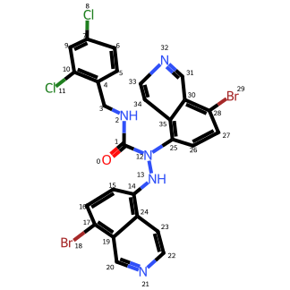 O=C(NCc1ccc(Cl)cc1Cl)N(Nc1ccc(Br)c2cnccc12)c1ccc(Br)c2cnccc12